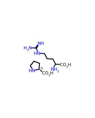 N=C(N)NCCCC(N)C(=O)O.O=C(O)[C@@H]1CCCN1